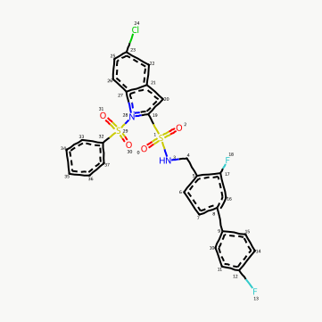 O=S(=O)(NCc1ccc(-c2ccc(F)cc2)cc1F)c1cc2cc(Cl)ccc2n1S(=O)(=O)c1ccccc1